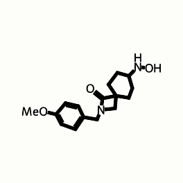 COc1ccc(CN2CC3(CCC(NO)CC3)C2=O)cc1